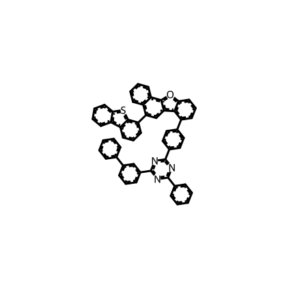 c1ccc(-c2cccc(-c3nc(-c4ccccc4)nc(-c4ccc(-c5cccc6oc7c8ccccc8c(-c8cccc9c8sc8ccccc89)cc7c56)cc4)n3)c2)cc1